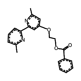 Cc1cccc(-c2cc(OCCOC(=O)c3ccccc3)cc(C)n2)n1